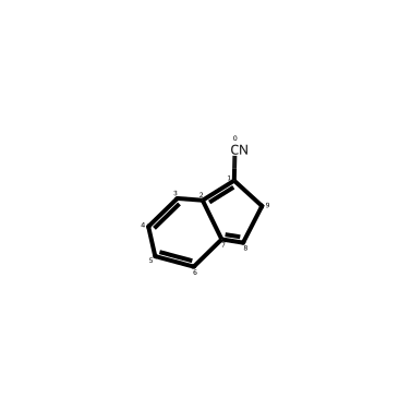 N#CC1=c2ccccc2=CC1